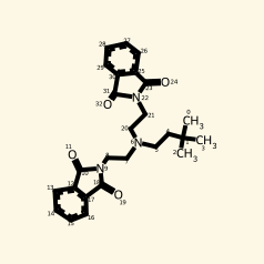 CC(C)(C)CCN(CCN1C(=O)c2ccccc2C1=O)CCN1C(=O)c2ccccc2C1=O